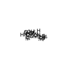 C[C@@H](NC(=O)c1c(O)c(=O)[nH]c2ccccc12)c1cccc(Nc2cccc(C(F)(F)F)c2)c1